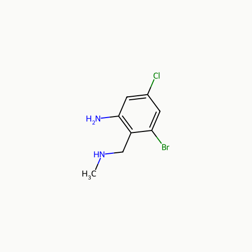 CNCc1c(N)cc(Cl)cc1Br